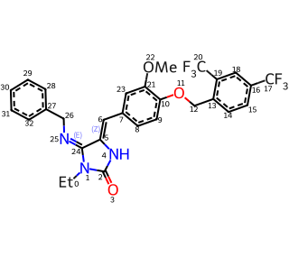 CCN1C(=O)NC(=C\c2ccc(OCc3ccc(C(F)(F)F)cc3C(F)(F)F)c(OC)c2)/C1=N\Cc1ccccc1